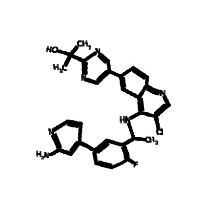 CC(Nc1c(Cl)cnc2ccc(-c3cnc(C(C)(C)O)nc3)cc12)c1cc(-c2ccnc(N)c2)ccc1F